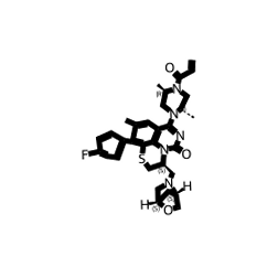 C=CC(=O)N1C[C@H](C)N(c2nc(=O)n3c4c(c(-c5ccc(F)cc5)c(C)cc24)SC[C@@H]3CN2C[C@@H]3C[C@H]2CO3)C[C@H]1C